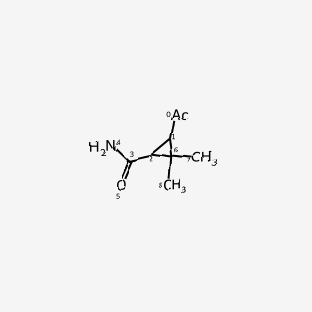 CC(=O)C1C(C(N)=O)C1(C)C